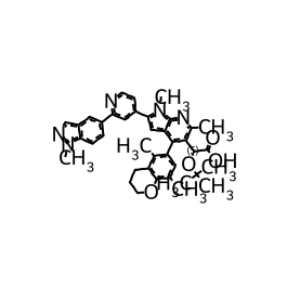 Cc1cc(-c2c([C@H](OC(C)(C)C)C(=O)O)c(C)nc3c2cc(-c2ccnc(-c4ccc5c(cnn5C)c4)c2)n3C)c(C)c2c1OCCC2